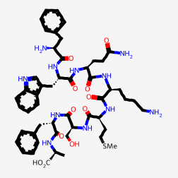 CSCC[C@H](NC(=O)[C@H](CCCCN)NC(=O)[C@H](CCC(N)=O)NC(=O)[C@H](Cc1c[nH]c2ccccc12)NC(=O)[C@@H](N)Cc1ccccc1)C(=O)N[C@@H](CO)C(=O)N[C@@H](Cc1ccccc1)C(=O)N[C@@H](C)C(=O)O